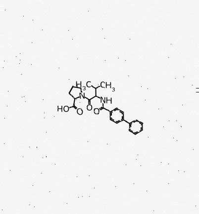 CC(C)C(NC(=O)c1ccc(-c2ccccc2)cc1)C(=O)N1CCCC1C(=O)O